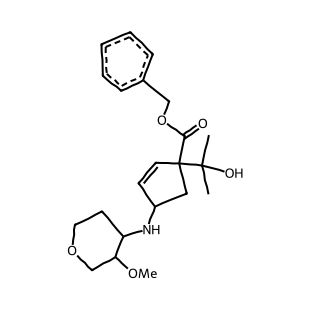 COC1COCCC1NC1C=CC(C(=O)OCc2ccccc2)(C(C)(C)O)C1